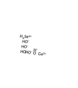 [Ga+3].[OH-].[OH-].[OH-].[OH-].[OH-].[SeH4+2]